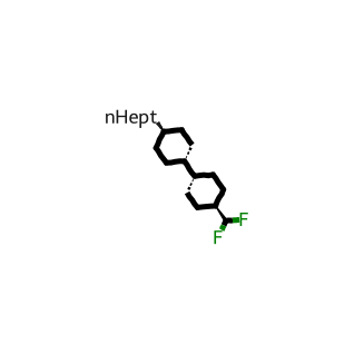 CCCCCCC[C@H]1CC[C@H]([C@H]2CC[C@H](C(F)F)CC2)CC1